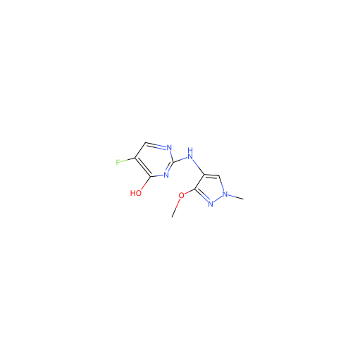 COc1nn(C)cc1Nc1ncc(F)c(O)n1